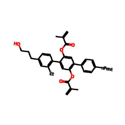 C=C(C)C(=O)Oc1cc(-c2ccc(CCCO)cc2CC)c(OC(=O)C(=C)C)cc1-c1ccc(CCCCC)cc1